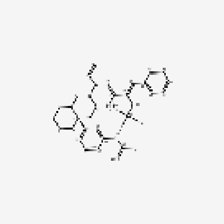 C=CCN1CC2CCCC[C@@]2(c2cccc(OC(C)=O)c2)C[C@H]1NC(=O)C(=Cc1ccccc1)OC(F)(F)F